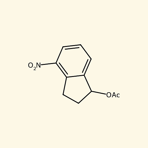 CC(=O)OC1CCc2c1cccc2[N+](=O)[O-]